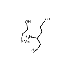 CNCCO.NCC(N)CCO